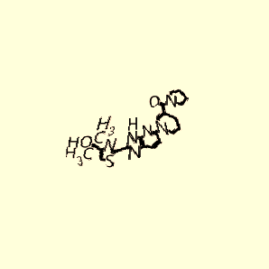 CC(C)(O)c1csc(-c2nc3ccc(N4CCCC(C(=O)N5CCCC5)C4)nc3[nH]2)n1